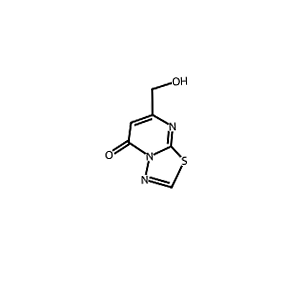 O=c1cc(CO)nc2scnn12